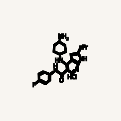 CCCc1cc2c(N[C@H]3CC[C@H](N)CC3)c(C(=O)Nc3ccc(F)cc3)cnc2[nH]1.Cl